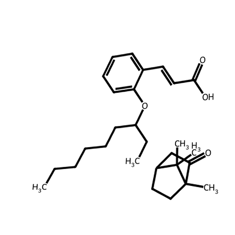 CC12CCC(CC1=O)C2(C)C.CCCCCCC(CC)Oc1ccccc1/C=C/C(=O)O